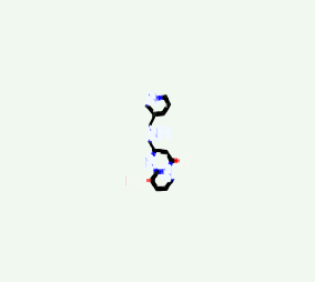 O=c1cc(CNCc2cccnc2)nc2c(O)cccn12